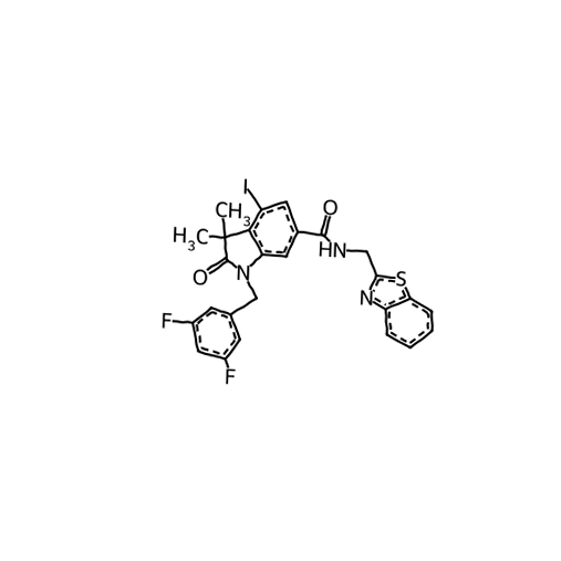 CC1(C)C(=O)N(Cc2cc(F)cc(F)c2)c2cc(C(=O)NCc3nc4ccccc4s3)cc(I)c21